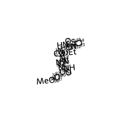 CCOC(=O)CN(CCNS(=O)(=O)c1nc2ccccc2s1)C(=O)Cn1cnc2c(NC(=O)OCc3ccc(OC)cc3)ncnc21